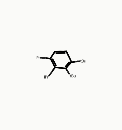 CC(C)c1ccc(C(C)(C)C)c(C(C)(C)C)c1C(C)C